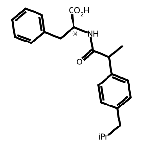 CC(C)Cc1ccc(C(C)C(=O)N[C@@H](Cc2ccccc2)C(=O)O)cc1